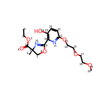 CCOC(=O)[C@@]1(C)COC(c2nc(OCCOCCOC)ccc2O)=N1